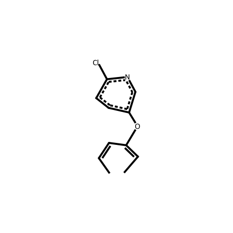 C/C=C\C(=C/C)Oc1ccc(Cl)nc1